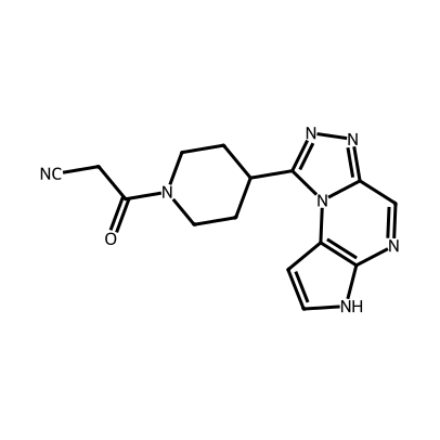 N#CCC(=O)N1CCC(c2nnc3cnc4[nH]ccc4n23)CC1